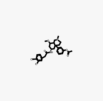 COC1C[C@H](NC(=O)Cc2ccc(Cl)c(Cl)c2)CC2(c3cccc(OC(C)=O)c3)CCN(C)CC12